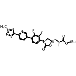 Cn1nnc(-c2ccc(-c3ccc(N4C[C@H](CNC(=O)OC(C)(C)C)OC4=O)c(F)c3F)cn2)n1